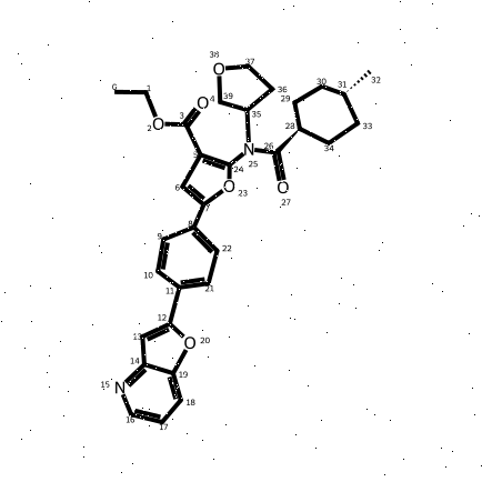 CCOC(=O)c1cc(-c2ccc(-c3cc4ncccc4o3)cc2)oc1N(C(=O)[C@H]1CC[C@H](C)CC1)C1CCOC1